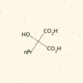 CCCC(O)(C(=O)O)C(=O)O